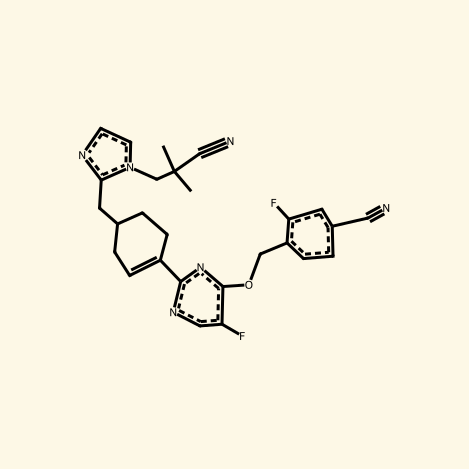 CC(C)(C#N)Cn1ccnc1CC1CC=C(c2ncc(F)c(OCc3ccc(C#N)cc3F)n2)CC1